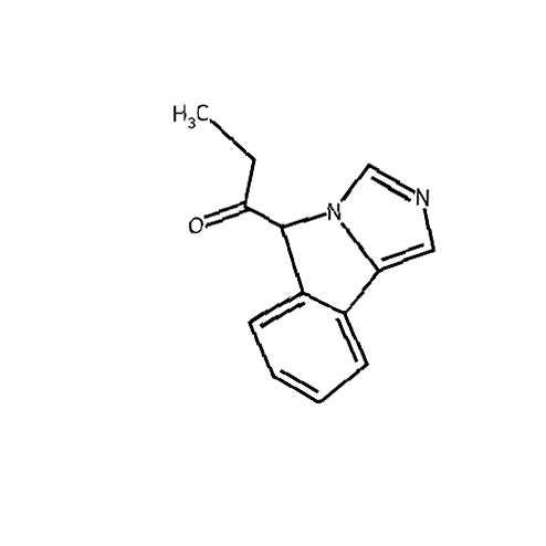 CCC(=O)C1c2ccccc2-c2cncn21